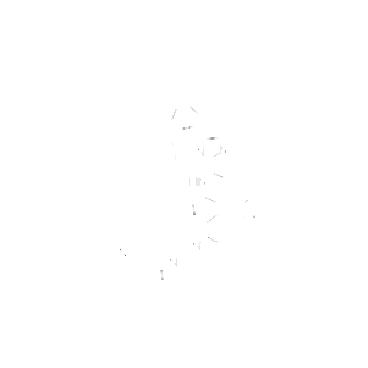 COc1ccc(-c2cnc(C(=O)Nc3ccc(C(=O)N4CCN(C(=O)C5CCNCC5)CC4)c(C)c3)n2C)c(Cl)c1F.O=CO